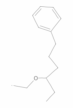 [CH2]COC(CC)CCCc1ccccc1